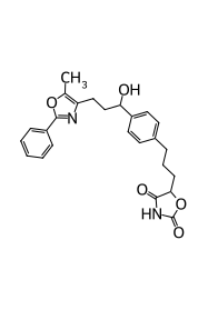 Cc1oc(-c2ccccc2)nc1CCC(O)c1ccc(CCCC2OC(=O)NC2=O)cc1